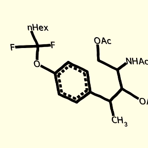 CCCCCCC(F)(F)Oc1ccc(C(C)C(OC(C)=O)C(COC(C)=O)NC(C)=O)cc1